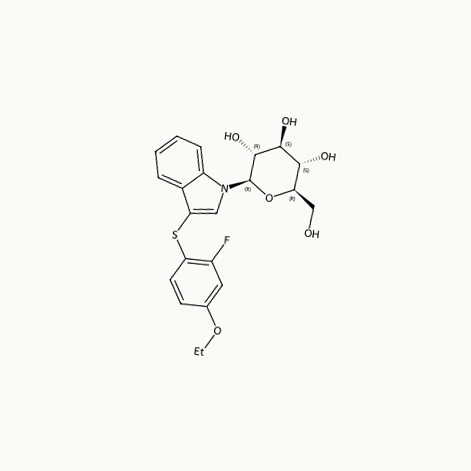 CCOc1ccc(Sc2cn([C@@H]3O[C@H](CO)[C@@H](O)[C@H](O)[C@H]3O)c3ccccc23)c(F)c1